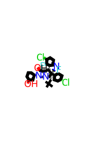 CC(C)(C)C[C@@H]1N2CN(c3cccc(O)c3)C(=O)[C@H]2[C@H](c2cccc(Cl)c2F)[C@@]1(C#N)c1ccc(Cl)cc1F